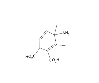 CC1=C(C(=O)O)C(C(=O)O)C=CC1(C)N